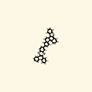 c1ccc(-c2nc3ccc(-c4ccc5c(ccc6c5c5ccccc5c5sc7ccccc7c65)c4)cc3nc2-c2ccccc2)cc1